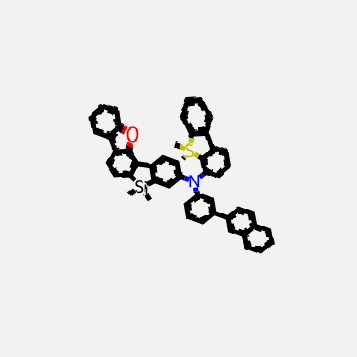 C[Si]1(C)c2cc(N(c3cccc(-c4ccc5ccccc5c4)c3)c3cccc4c3S(C)(C)c3ccccc3-4)ccc2-c2c1ccc1c2oc2ccccc21